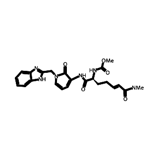 CNC(=O)/C=C/CC[C@H](NC(=O)OC)C(=O)Nc1cccn(Cc2nc3ccccc3[nH]2)c1=O